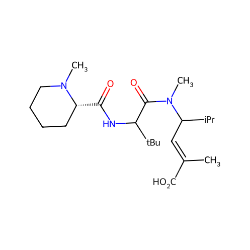 C/C(=C\C(C(C)C)N(C)C(=O)C(NC(=O)[C@@H]1CCCCN1C)C(C)(C)C)C(=O)O